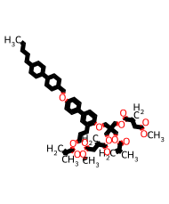 C=C(C)C(=O)OCCCc1cc(-c2ccc(OCC3CCC(C4CCC(CCCCC)CC4)CC3)cc2)ccc1OCC(COC(=O)C(=C)C)(COC(=O)C(=C)CC(=O)OC)COC(=O)C(=C)CC(=O)OC